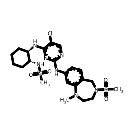 CN1CCN(S(C)(=O)=O)Cc2ccc(Nc3ncc(Cl)c(N[C@@H]4CCCC[C@H]4NS(C)(=O)=O)n3)cc21